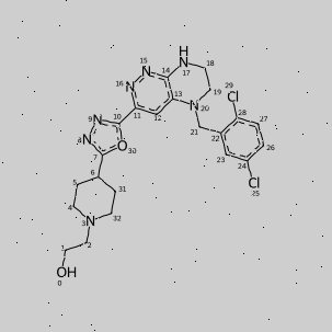 OCCN1CCC(c2nnc(-c3cc4c(nn3)NCCN4Cc3cc(Cl)ccc3Cl)o2)CC1